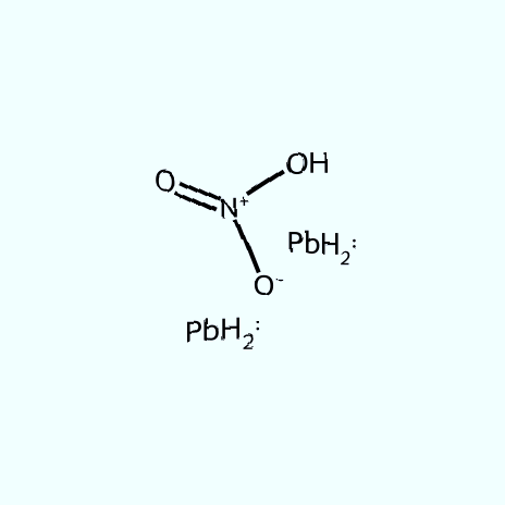 O=[N+]([O-])O.[PbH2].[PbH2]